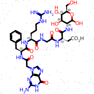 N=C(N)NCCC[C@H](NC(=O)[C@H](Cc1ccccc1)NC(=O)Cn1cnc2c(=O)[nH]c(N)nc21)C(=O)NCC(=O)N[C@@H](CC(=O)O)C(=O)N[C@H]1C(O)O[C@H](CO)[C@@H](O)[C@@H]1O